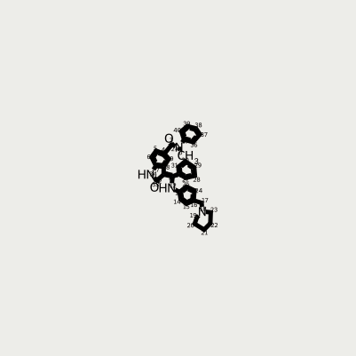 CN(C(=O)c1ccc2c(c1)/C(=C(/Nc1ccc(CN3CCCCC3)cc1)c1ccccc1)C(=O)N2)c1ccccc1